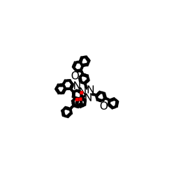 c1ccc(-c2ccc(-c3nc(-c4ccc5c(c4)oc4ccccc45)nc(-c4ccc5c(oc6ccc7ccccc7c65)c4-n4c5c(c6cc7ccccc7cc64)-c4ccccc4CC5)n3)cc2)cc1